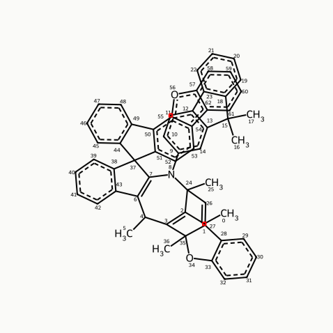 CCC1=C2C(C)C3=C(N(c4ccc5c(c4)C(C)(C)c4ccccc4-5)C1(C)C=C1c4ccccc4OC12C)C1(c2ccccc23)c2ccccc2-c2c1ccc1c2oc2ccccc21